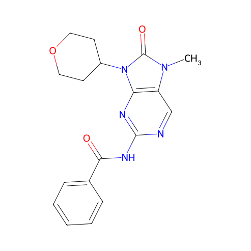 Cn1c(=O)n(C2CCOCC2)c2nc(NC(=O)c3ccccc3)ncc21